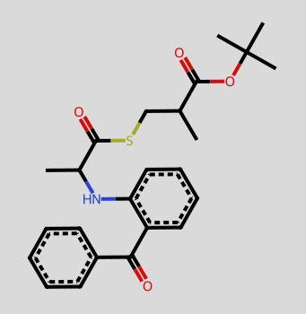 CC(CSC(=O)C(C)Nc1ccccc1C(=O)c1ccccc1)C(=O)OC(C)(C)C